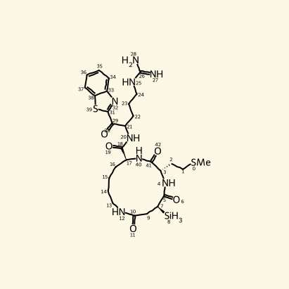 CSCC[C@@H]1NC(=O)[C@@H]([SiH3])CC(=O)NCCCC[C@@H](C(=O)NC(CCCNC(=N)N)C(=O)c2nc3ccccc3s2)NC1=O